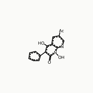 CC(=O)c1cnc2c(c1)c(O)c(-c1ccccc1)c(=O)n2O